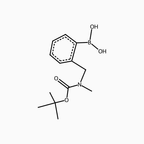 CN(Cc1ccccc1B(O)O)C(=O)OC(C)(C)C